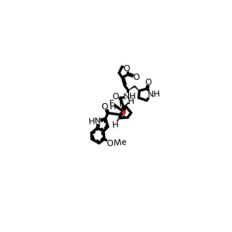 COc1cccc2[nH]c(C(=O)N3[C@H]4CC[C@@H]([C@@H]3C(=O)N[C@@H](/C=C3/CCOC3=O)C[C@@H]3CCNC3=O)C(F)(F)C4)cc12